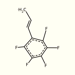 [CH2]C=Cc1c(F)c(F)c(F)c(F)c1F